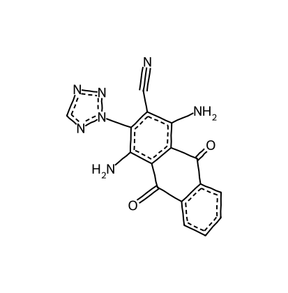 N#Cc1c(N)c2c(c(N)c1-n1ncnn1)C(=O)c1ccccc1C2=O